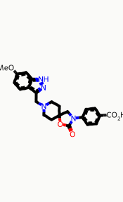 COc1ccc2c(CN3CCC4(CC3)CN(c3ccc(C(=O)O)cc3)C(=O)O4)n[nH]c2c1